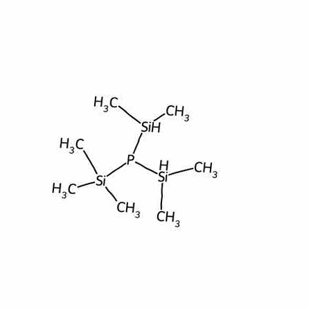 C[SiH](C)P([SiH](C)C)[Si](C)(C)C